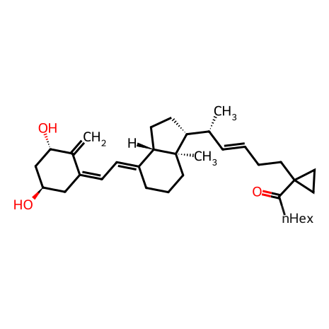 C=C1/C(=C\C=C2/CCC[C@]3(C)[C@@H]([C@H](C)/C=C/CCC4(C(=O)CCCCCC)CC4)CC[C@@H]23)C[C@@H](O)C[C@@H]1O